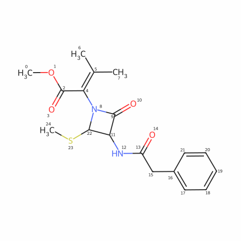 COC(=O)C(=C(C)C)N1C(=O)C(NC(=O)Cc2ccccc2)C1SC